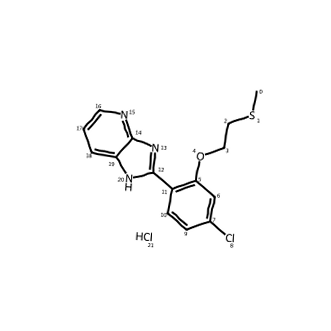 CSCCOc1cc(Cl)ccc1-c1nc2ncccc2[nH]1.Cl